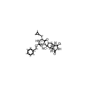 N#CC1(NC(=O)[C@H](CC2CC2)NC(=O)OCc2ccccc2)CC2CC1[C@H]1C(=O)NC(=O)[C@@H]21